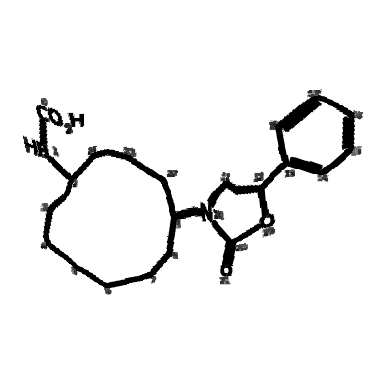 O=C(O)BC1CCCCCCC(N2CC(c3ccccc3)OC2=O)CCC1